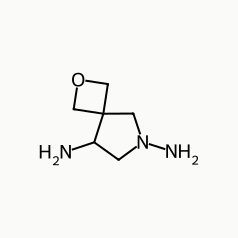 NC1CN(N)CC12COC2